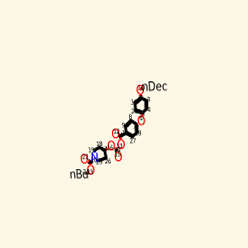 CCCCCCCCCCOc1ccc(Oc2ccc(C(=O)OC(=O)OC3CCN(C(=O)OCCCC)CC3)cc2)cc1